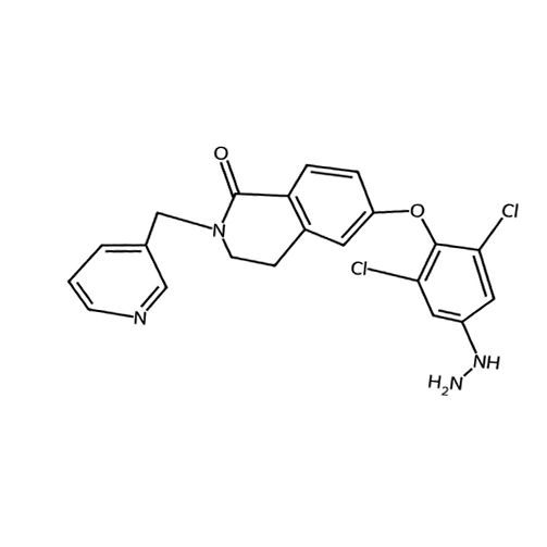 NNc1cc(Cl)c(Oc2ccc3c(c2)CCN(Cc2cccnc2)C3=O)c(Cl)c1